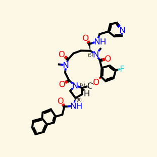 CN1CC(=O)N2C[C@H](NC(=O)Cc3ccc4ccccc4c3)C[C@H]2COc2ccc(F)cc2C(=O)N(C)[C@H](C(=O)NCc2ccncc2)CCC1=O